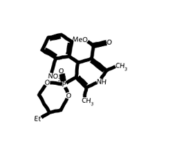 CCC1COP(=O)(C2=C(C)NC(C)=C(C(=O)OC)C2c2ccccc2[N+](=O)[O-])OC1